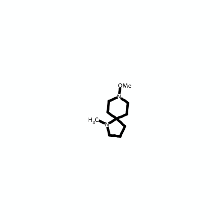 CON1CCC2(CCCN2C)CC1